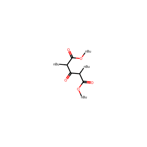 CCCCOC(=O)C(CCCC)C(=O)C(CCCC)C(=O)OCCCC